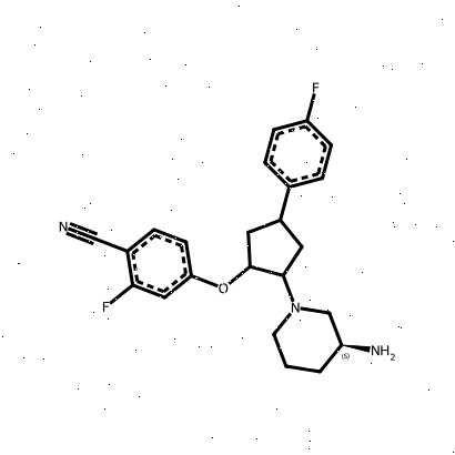 N#Cc1ccc(OC2CC(c3ccc(F)cc3)CC2N2CCC[C@H](N)C2)cc1F